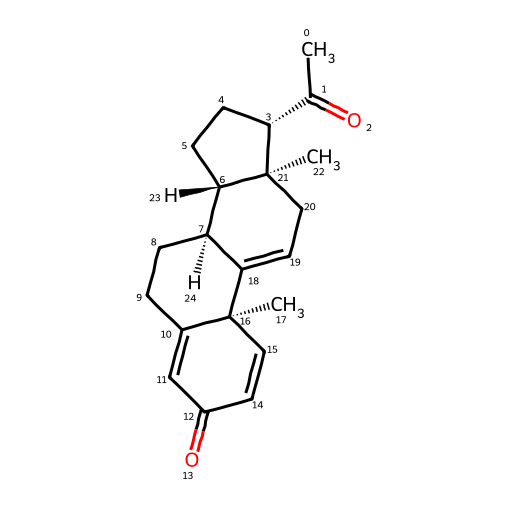 CC(=O)[C@H]1CC[C@H]2[C@@H]3CCC4=CC(=O)C=C[C@]4(C)C3=CC[C@]12C